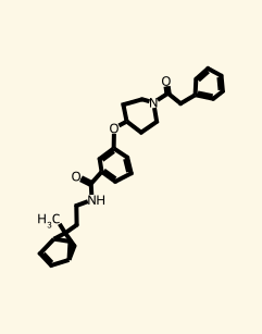 CC1(CCNC(=O)c2cccc(OC3CCN(C(=O)Cc4ccccc4)CC3)c2)CC2C=CC1C2